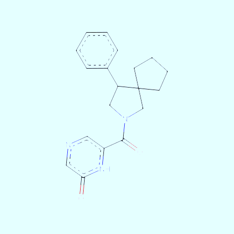 O=C(c1cncc(=O)[nH]1)N1CC(c2ccccc2)C2(CCCC2)C1